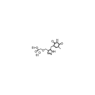 CCOP(=O)(COCc1nn[nH]c1Cn1cc(C)c(=O)[nH]c1=O)OCC